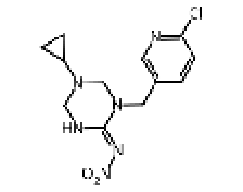 O=[N+]([O-])N=C1NCN(C2CC2)CN1Cc1ccc(Cl)nc1